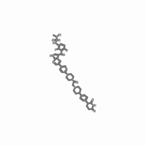 CCN(C)S(=O)(=O)Nc1ccc(F)c(C(=O)c2c[nH]c3ncc(-c4ccc(N5CCN(C(=O)CN6CCC(c7ccc(C8CCC(=O)NC8=O)cc7)CC6)CC5)nc4)cc23)c1F